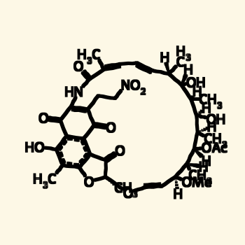 CO[C@H]1/C=C/O[C@@]2(C)Oc3c(C)c(O)c4c(c3C2=O)C(=O)C(CC[N+](=O)[O-])=C(NC(=O)/C(C)=C\C=C\[C@H](C)[C@H](O)[C@@H](C)[C@@H](O)[C@@H](C)[C@H](OC(C)=O)[C@@H]1C)C4=O